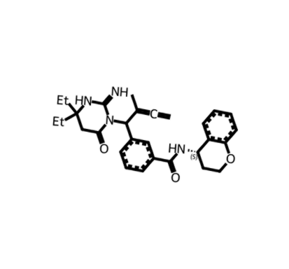 C=C=C(C)C(c1cccc(C(=O)N[C@H]2CCOc3ccccc32)c1)N1C(=N)NC(CC)(CC)CC1=O